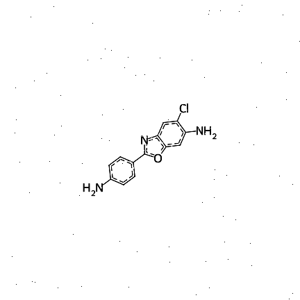 Nc1ccc(-c2nc3cc(Cl)c(N)cc3o2)cc1